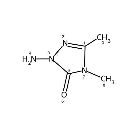 Cc1nn(N)c(=O)n1C